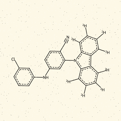 [2H]c1c([2H])c([2H])c2c(c1[2H])c1c([2H])c([2H])c([2H])c([2H])c1n2-c1cc(Nc2cccc(Cl)c2)ccc1C#N